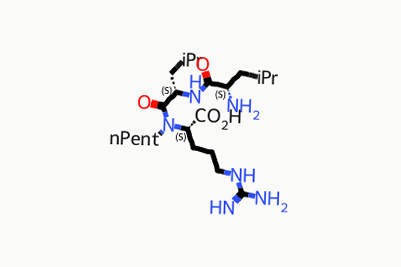 CCCCCN(C(=O)[C@H](CC(C)C)NC(=O)[C@@H](N)CC(C)C)[C@@H](CCCNC(=N)N)C(=O)O